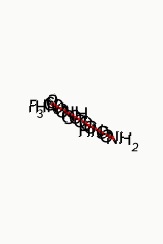 NCCOCCOCCNCCCOCCOCCOCCOCCC(=O)NCCOCCOCCNC(=O)C(F)(F)F